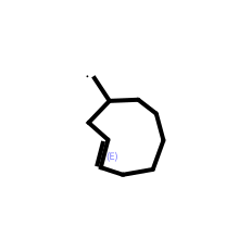 [CH2]C1C/C=C/CCCCC1